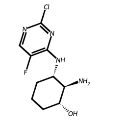 N[C@H]1[C@H](O)CCC[C@@H]1Nc1nc(Cl)ncc1F